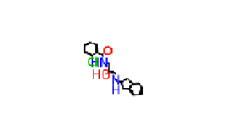 O=C(NCC(O)CNC1Cc2ccccc2C1)c1ccccc1Cl